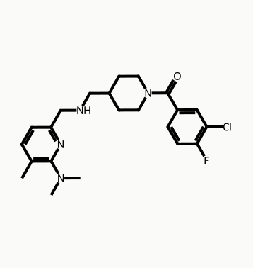 Cc1ccc(CNCC2CCN(C(=O)c3ccc(F)c(Cl)c3)CC2)nc1N(C)C